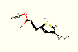 CC(C)(C)OC(=O)/C=C/c1cc(C(=O)O)cs1